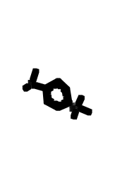 CN(C)c1cc[c]([Sn]([CH3])([CH3])[CH3])cc1